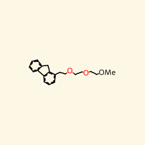 COCCOCCOCCc1cccc2c1Cc1ccccc1-2